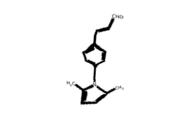 Cc1ccc(C)n1-c1ccc(C=CC=O)cc1